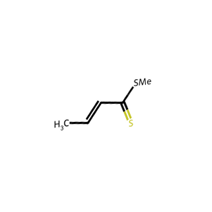 CC=CC(=S)SC